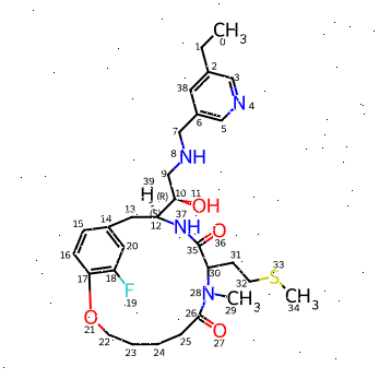 CCc1cncc(CNC[C@@H](O)[C@@H]2Cc3ccc(c(F)c3)OCCCCC(=O)N(C)C(CCSC)C(=O)N2)c1